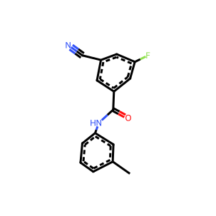 Cc1cccc(NC(=O)c2cc(F)cc(C#N)c2)c1